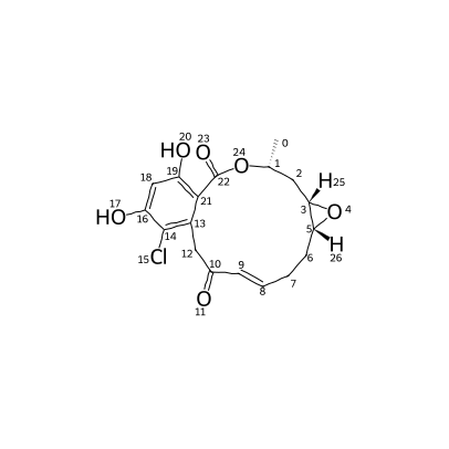 C[C@@H]1C[C@@H]2O[C@@H]2CC/C=C/C(=O)Cc2c(Cl)c(O)cc(O)c2C(=O)O1